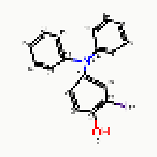 Oc1ccc(N(c2ccccc2)c2ccccc2)cc1I